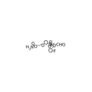 NC(=O)OCCCOc1cccc(S(=O)(=O)n2cc(C=O)cc2-c2ccccc2F)c1